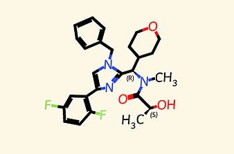 C[C@H](O)C(=O)N(C)[C@@H](c1nc(-c2cc(F)ccc2F)cn1Cc1ccccc1)C1CCOCC1